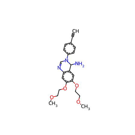 C#Cc1ccc(N2C=Nc3cc(OCCOC)c(OCCOC)cc3C2N)cc1